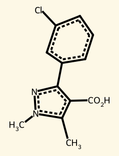 Cc1c(C(=O)O)c(-c2cccc(Cl)c2)nn1C